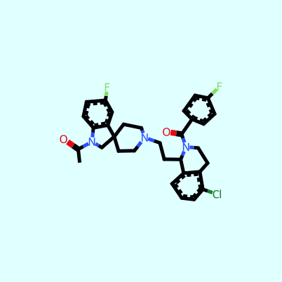 CC(=O)N1CC2(CCN(CCC3c4cccc(Cl)c4CCN3C(=O)c3ccc(F)cc3)CC2)c2cc(F)ccc21